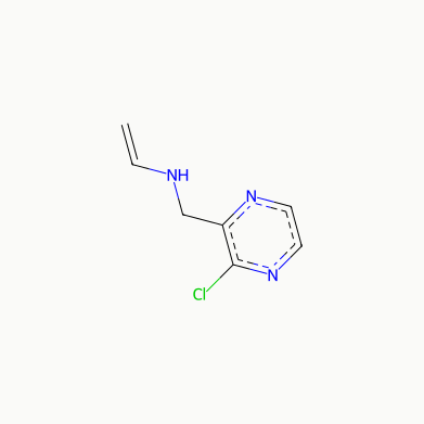 C=CNCc1nccnc1Cl